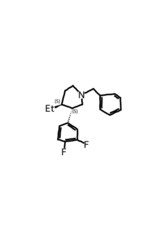 CC[C@H]1CCN(Cc2ccccc2)C[C@@H]1c1ccc(F)c(F)c1